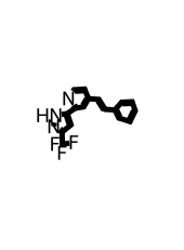 FC(F)(F)c1cc(-c2cc(C=Cc3ccccc3)ccn2)[nH]n1